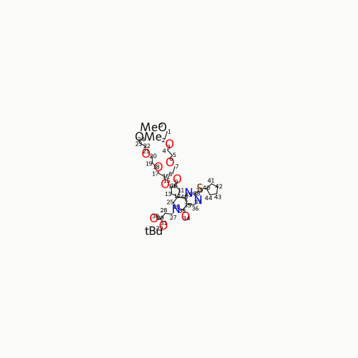 COCCOCCOCCOCCC1(CCOCCOCCOCCOC)CN(CCC(=O)OC(C)(C)C)C(=O)c2cnc(SC3CCCC3)nc21